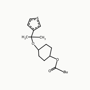 CCC(C)C(=O)OC1CCC(OC(C)(C)c2ccsc2)CC1